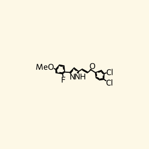 COc1ccc(-c2cc(C=CC(=O)c3ccc(Cl)c(Cl)c3)[nH]n2)c(F)c1